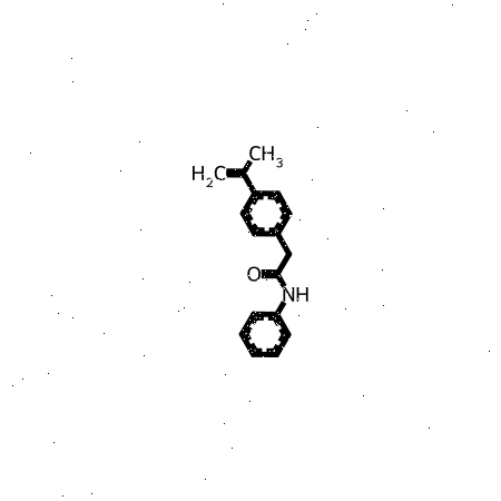 C=C(C)c1ccc(CC(=O)Nc2ccccc2)cc1